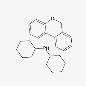 C1CCC(PC2CCCCC2)CC1.c1ccc2c(c1)COc1ccccc1-2